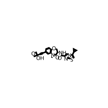 CN1C(=O)[C@@H](NC(=O)c2cn3c(C4CC4)csc3n2)COc2ccc(C#CC3(O)COC3)cc21